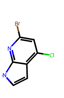 Clc1cc(Br)nc2c1C=C[N]2